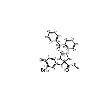 COC(=O)[C@@]1(Cc2ccc(F)c(Br)c2)CC[C@H](N=C(c2ccccc2)c2ccccc2)C1